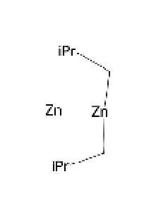 CC(C)[CH2][Zn][CH2]C(C)C.[Zn]